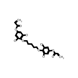 C=CC(=O)Oc1cc(Cl)c(OCCCCCOc2c(Cl)cc(OC(=O)C=C)cc2Cl)c(Cl)c1